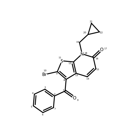 O=C(c1ccccc1)c1c(Br)sc2c1ccc(=O)n2CC1CC1